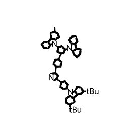 Cc1ccc2c(c1)c1ccccc1n2-c1cc(-c2ccc(-c3cncc(-c4ccc(-n5c6ccc(C(C)(C)C)cc6c6cc(C(C)(C)C)ccc65)cc4)c3)cc2)cc(-n2c3ccccc3c3ccccc32)c1